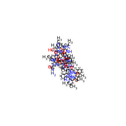 CC(C)C[C@H](NC(=O)[C@H](C)NC(=O)[C@@H]1CCCN1C(=O)[C@H](C)NC(=O)[C@H](C)NC(=O)[C@H](Cc1c[nH]c2ccccc12)NC(=O)[C@H](Cc1ccccc1)NC(=O)[C@@H](NC(=O)[C@@H](N)CC(C)C)C(C)C)C(=O)N[C@@H](CC(C)C)C(=O)N[C@@H](CO)C(=O)N[C@@H](C)C(=O)N[C@@H](CC(C)C)C(=O)N[C@@H](CCC(N)=O)C(=O)N[C@@H](CC(C)C)C(=O)N[C@@H](Cc1ccccc1)C(=O)O